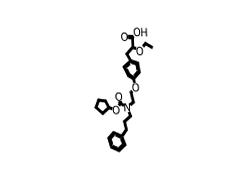 CCOC(Cc1ccc(OCCN(CCCc2ccccc2)C(=O)OC2CCCC2)cc1)C(=O)O